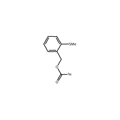 [2H]C(=O)OCc1ccccc1SC